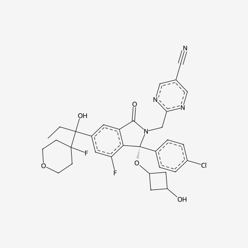 CCC(O)(c1cc(F)c2c(c1)C(=O)N(Cc1ncc(C#N)cn1)[C@@]2(OC1CC(O)C1)c1ccc(Cl)cc1)C1(F)CCOCC1